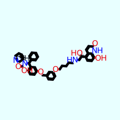 O=C(O)N(C(c1ccccc1)c1cccc(OCc2cccc(OCCCCCNC[C@H](O)c3ccc(O)c4[nH]c(=O)ccc34)c2)c1)[C@H]1CN2CCC1CC2